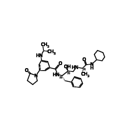 CC(C)Nc1cc(C(=O)N[C@@H](Cc2ccccc2)[C@@H](O)CN[C@@H](C)C(=O)NC2CCCCC2)cc(N2CCCC2=O)c1